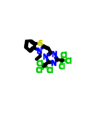 CCN1C(=Cc2nc(C(Cl)(Cl)Cl)nc(C(Cl)(Cl)Cl)n2)Sc2ccccc21